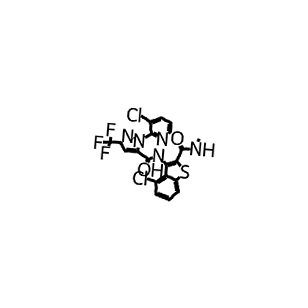 CNC(=O)c1sc2cccc(Cl)c2c1NC(=O)c1cc(C(F)(F)F)nn1-c1ncccc1Cl